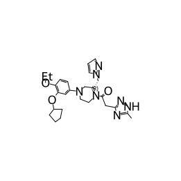 CCOc1ccc(N2CCN(C(=O)Cc3n[nH]c(C)n3)[C@@H](Cn3cccn3)C2)cc1OC1CCCC1